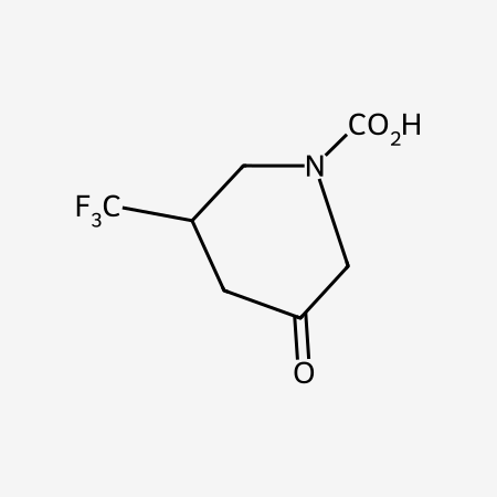 O=C1CC(C(F)(F)F)CN(C(=O)O)C1